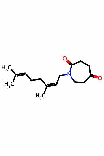 CC(C)=CCCC(C)=CCN1CCC(=O)CCC1=O